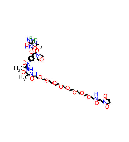 C[C@H](NC(=O)CCOCCOCCOCCOCCOCCOCCOCCOCCNC(=O)CCN1C(=O)C=CC1=O)C(=O)N[C@@H](C)C(=O)Nc1ccc(C(OC(=O)NC(C)(C(N)=O)C(F)F)C(=O)N2CCOCC2)cc1